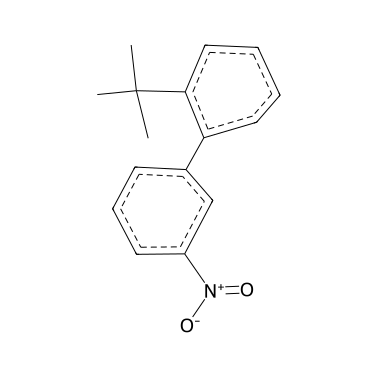 CC(C)(C)c1ccccc1-c1cccc([N+](=O)[O-])c1